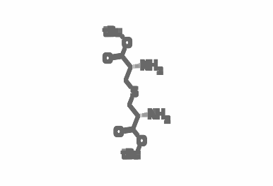 CC(C)(C)OC(=O)[C@H](N)CSC[C@H](N)C(=O)OC(C)(C)C